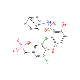 O=P(O)(O)Cc1cc(Cl)c(Oc2ccc(O)c(S(=O)(=O)NC3CC4CCC3CC4)c2)c(Cl)c1